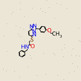 CCOc1ccc(-c2nnc3ccc(SCC(=O)NCc4ccccc4)nn23)cc1